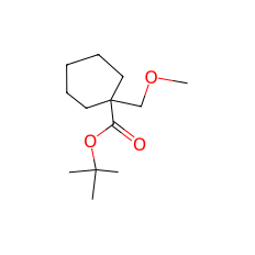 COCC1(C(=O)OC(C)(C)C)CCCCC1